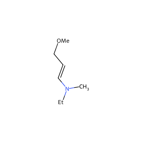 CCN(C)/C=C/COC